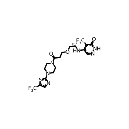 C[C@@H](COCCC(=O)N1CCN(c2ncc(C(F)(F)F)s2)CC1)Nc1cn[nH]c(=O)c1C(F)(F)F